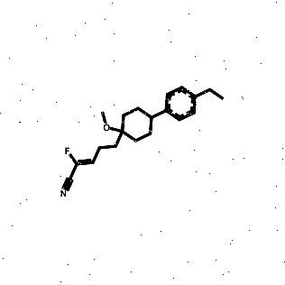 CCc1ccc(C2CCC(CCC=C(F)C#N)(OC)CC2)cc1